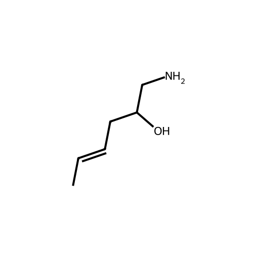 C/C=C/CC(O)CN